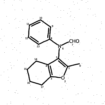 Cc1oc2c(c1N(C=O)c1ccccc1)CCCC2